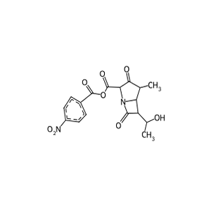 CC(O)C1C(=O)N2C(C(=O)OC(=O)c3ccc([N+](=O)[O-])cc3)C(=O)C(C)C12